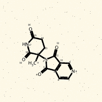 CC1(N2C(=O)c3ccncc3C2=O)CCC(=O)NC1=O